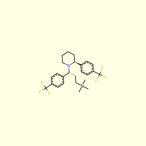 C[Si](C)(C)CC[C@H](c1ccc(C(F)(F)F)cc1)N1CC[CH]C[C@H]1c1ccc(C(F)(F)F)cc1